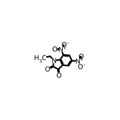 CCN1C(=O)C(=O)c2cc([N+](=O)[O-])cc([N+](=O)[O-])c21